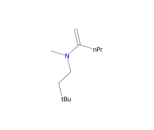 C=C(CCC)N(C)CCC(C)(C)C